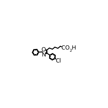 O=C(O)CCCCCc1oc(-c2ccccc2)nc1-c1ccc(Cl)cc1